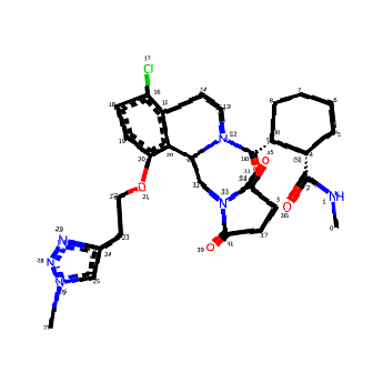 CNC(=O)[C@H]1CCCC[C@H]1C(=O)N1CCc2c(Cl)ccc(OCCc3cn(C)nn3)c2C1CN1C(=O)CCC1=O